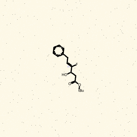 CC(C)(C)OC(=O)CC(O)/C(F)=C/Cc1ccccc1